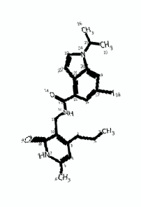 CCCc1cc(C)[nH]c(=O)c1CNC(=O)c1cc(I)cc2c1ccn2C(C)C